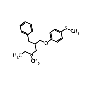 CCN(C)CC(COc1ccc(SC)cc1)Cc1ccccc1